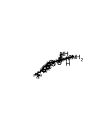 CCC(CCCC1CCC2C3CC=C4CC(OC(=O)CCCC(=O)N(CCCN)CCCCNCCCN)CCC4(C)C3CCC12C)C(C)C